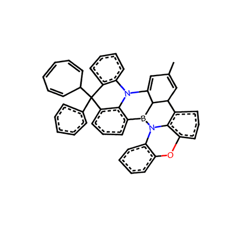 CC1=CC2c3cccc4c3N(B3c5cccc6c5N(C(=C1)C32)c1ccccc1C6(c1ccccc1)C1C=CC=CC=C1)c1ccccc1O4